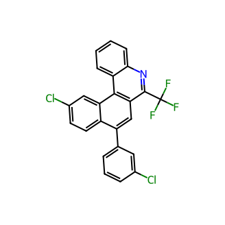 FC(F)(F)c1nc2ccccc2c2c1cc(-c1cccc(Cl)c1)c1ccc(Cl)cc12